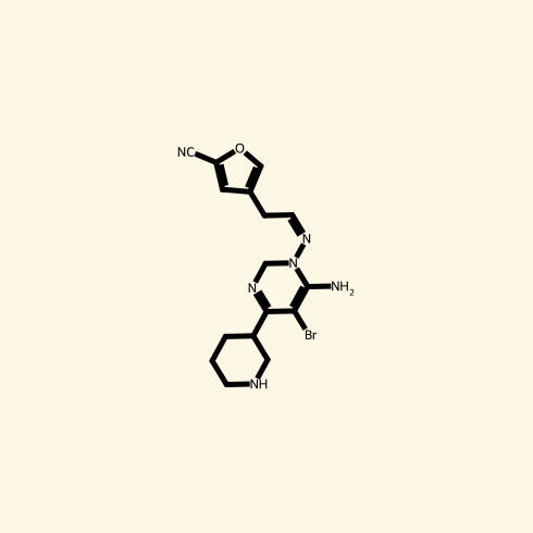 N#Cc1cc(C/C=N\N2CN=C(C3CCCNC3)C(Br)=C2N)co1